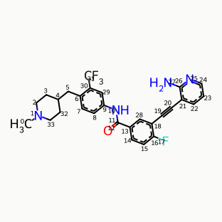 CN1CCC(Cc2ccc(NC(=O)c3ccc(F)c(C#Cc4cccnc4N)c3)cc2C(F)(F)F)CC1